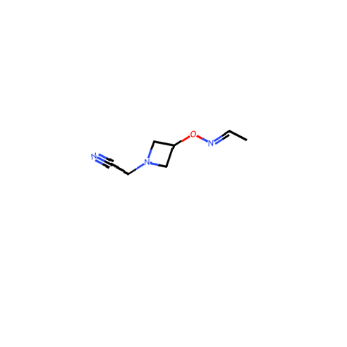 C/C=N/OC1CN(CC#N)C1